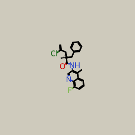 C=C(Cl)C[C@](C)(Cc1ccccc1)C(=O)Nc1cnc2c(F)cccc2c1C